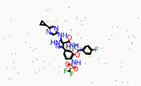 CC(Oc1cc(-c2n[nH]c(Nc3cnc(C4CC4)cn3)c2C(N)=O)ccc1NS(=O)(=O)C(F)F)c1ccc(F)cc1